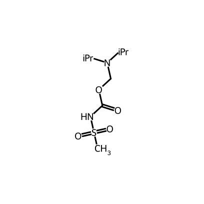 CC(C)N(COC(=O)NS(C)(=O)=O)C(C)C